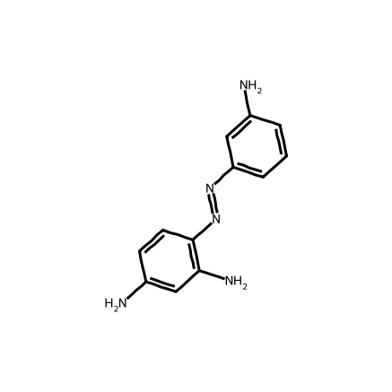 Nc1cccc(/N=N/c2ccc(N)cc2N)c1